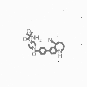 N#C/C1=C/CCCNc2ccc(-c3ccc(C(=O)N4CCN(C(=O)C5(N)COC5)CC4)cc3)cc21